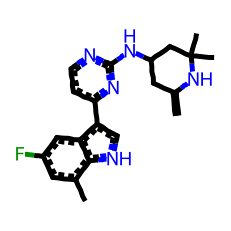 C=C1CC(Nc2nccc(-c3c[nH]c4c(C)cc(F)cc34)n2)CC(C)(C)N1